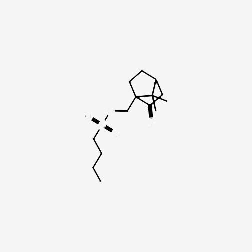 CCCCS(=O)(=O)OCC12CCC(CC1=O)C2(C)C